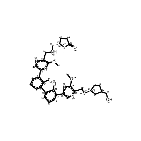 COc1nc(-c2cccc(-c3cccc(-c4cnc(CN[C@H]5CCC(CO)C5)c(OC)n4)c3Cl)c2Cl)cnc1CNC[C@@H]1CCC(=O)N1